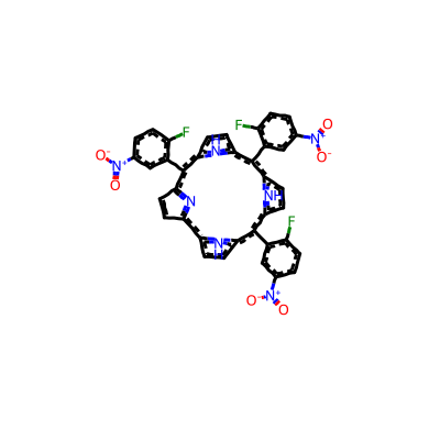 O=[N+]([O-])c1ccc(F)c(-c2c3nc(c4ccc([nH]4)c(-c4cc([N+](=O)[O-])ccc4F)c4ccc([nH]4)c(-c4cc([N+](=O)[O-])ccc4F)c4ccc2[nH]4)C=C3)c1